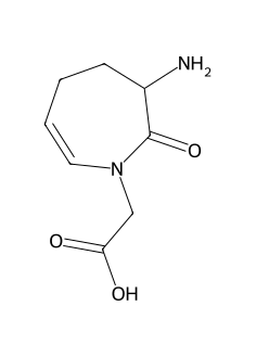 NC1CCC=CN(CC(=O)O)C1=O